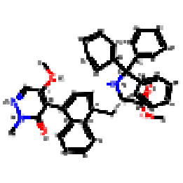 COC(=O)[C@H](Cc1ccc(-c2c(OC)cnn(C)c2=O)c2ccccc12)NC(c1ccccc1)(c1ccccc1)c1ccccc1